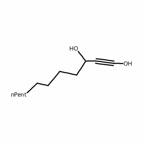 CCCCCCCCCC(O)C#CO